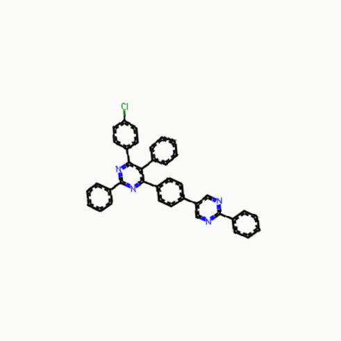 Clc1ccc(-c2nc(-c3ccccc3)nc(-c3ccc(-c4cnc(-c5ccccc5)nc4)cc3)c2-c2ccccc2)cc1